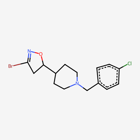 Clc1ccc(CN2CCC(C3CC(Br)=NO3)CC2)cc1